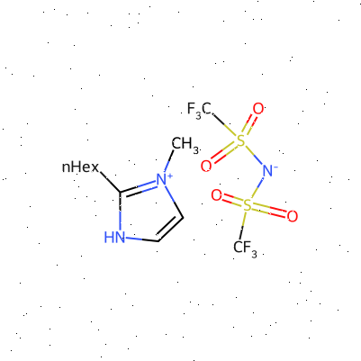 CCCCCCc1[nH]cc[n+]1C.O=S(=O)([N-]S(=O)(=O)C(F)(F)F)C(F)(F)F